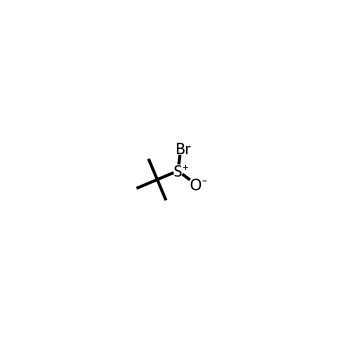 CC(C)(C)[S+]([O-])Br